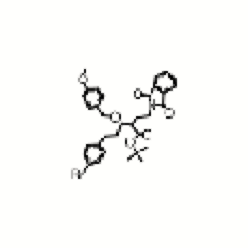 COc1ccc(COC(CCc2ccc(Br)cc2)C(CCN2C(=O)c3ccccc3C2=O)C(=O)OC(C)(C)C)cc1